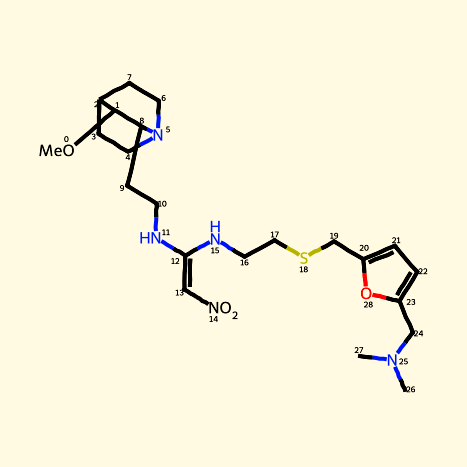 COC1C2CCN(CC2)C1CCNC(=C[N+](=O)[O-])NCCSCc1ccc(CN(C)C)o1